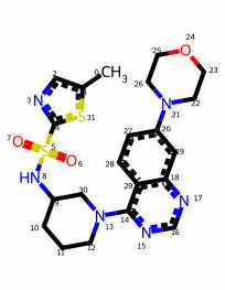 Cc1cnc(S(=O)(=O)NC2CCCN(c3ncnc4cc(N5CCOCC5)ccc34)C2)s1